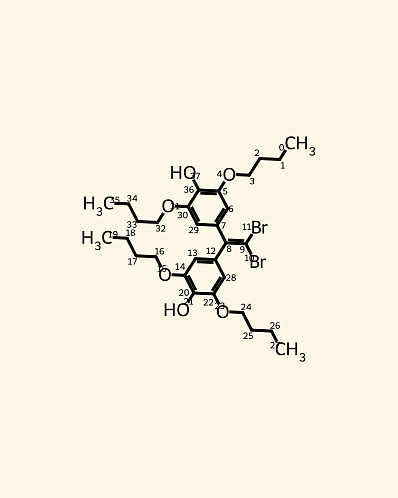 CCCCOc1cc(C(=C(Br)Br)c2cc(OCCCC)c(O)c(OCCCC)c2)cc(OCCCC)c1O